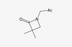 CC(=O)CN1CC(C)(C)C1=O